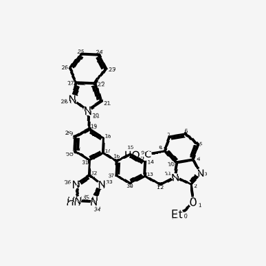 CCOc1nc2cccc(C(=O)O)c2n1Cc1ccc(-c2cc(-n3cc4ccccc4n3)ccc2-c2nn[nH]n2)cc1